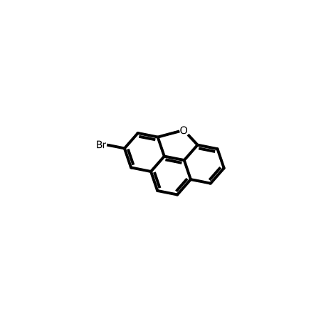 Brc1cc2ccc3cccc4oc(c1)c2c34